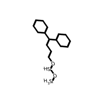 [SiH3]O[SiH]OCCCC(C1CCCCC1)C1CCCCC1